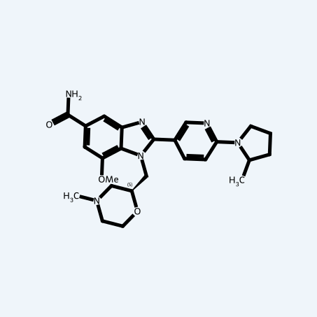 COc1cc(C(N)=O)cc2nc(-c3ccc(N4CCCC4C)nc3)n(C[C@@H]3CN(C)CCO3)c12